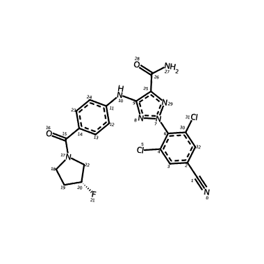 N#Cc1cc(Cl)c(-n2nc(Nc3ccc(C(=O)N4CC[C@@H](F)C4)cc3)c(C(N)=O)n2)c(Cl)c1